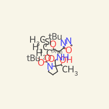 CC(O)C1(C(=O)N[C@@H](c2nnco2)[C@H](C)O[Si](C)(C)C(C)(C)C)CCCN1C(=O)OC(C)(C)C